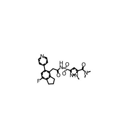 CN(C)C(=O)c1cc(S(=O)(=O)NC(=O)Cc2c(-c3ccncc3)cc(F)c3c2CCC3)nn1C